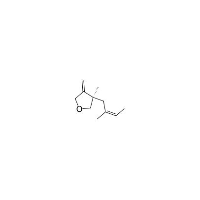 C=C1COC[C@]1(C)C/C(C)=C\C